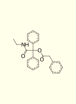 CCNC(=O)C(OC(=O)Cc1ccccc1)(c1ccccc1)c1ccccc1